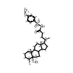 CC[C@H]1CC2C3CCC([C@H](C)CCC(=O)NS(=O)(=O)c4ccc(OC(F)(F)F)cc4)[C@@]3(C)CCC2[C@@]2(C)CCC[C@H](F)[C@@H]12